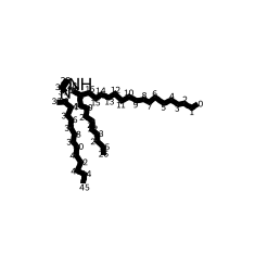 CCCCCCCCCCCCCCCCCC(CCCCCCCCC)c1[nH]cc[n+]1C(C)CCCCCCCCCCCC